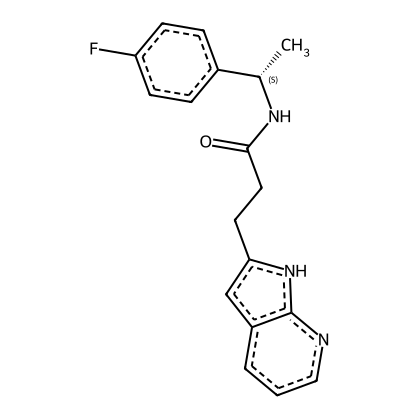 C[C@H](NC(=O)CCc1cc2cccnc2[nH]1)c1ccc(F)cc1